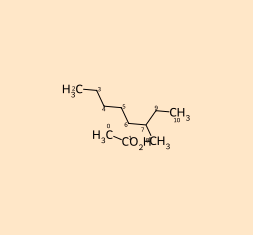 CC(=O)O.CCCCCC(C)CC